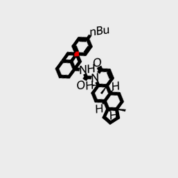 CCCCc1ccc(C2C3CCCC2(NC(=O)N2C(=O)C=C[C@]4(C)[C@H]5CC[C@]6(C)CCC[C@H]6[C@@H]5CC[C@@H]24)CCC3)cc1